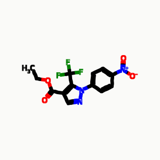 CCOC(=O)c1cnn(-c2ccc([N+](=O)[O-])cc2)c1C(F)(F)F